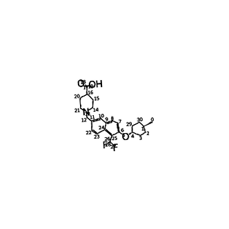 C[C@H]1CC[C@@H](Oc2ccc3cc(CN4CCC(C(=O)O)CC4)ccc3c2C(F)F)CC1